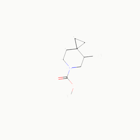 CC(C)(C)OC(=O)N1CCC2(CC2)C(C(=O)O)C1